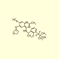 C#Cc1cc2nc(C)nc(NC(C)c3cccc(C(F)(F)C(C)(C)O)c3F)c2cc1O[C@H]1CCOC1